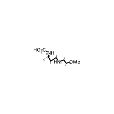 COCCNCC[C@H](C)NC(=O)O